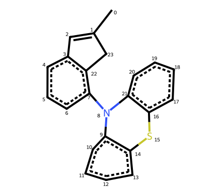 CC1=Cc2cccc(N3c4ccccc4Sc4ccccc43)c2C1